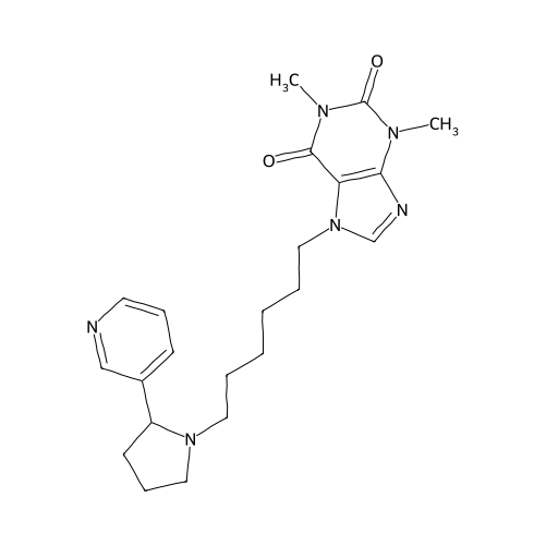 Cn1c(=O)c2c(ncn2CCCCCCN2CCCC2c2cccnc2)n(C)c1=O